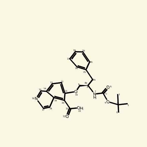 CC(C)(C)OC(=O)N[C@@H](COc1ccc2cnccc2c1C(=O)O)Cc1ccccc1